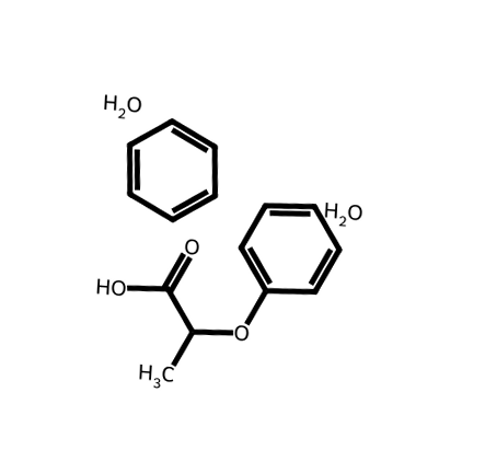 CC(Oc1ccccc1)C(=O)O.O.O.c1ccccc1